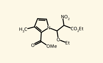 CCOC(=O)C(C(OCC)n1ccc(C)c1C(=O)OC)[N+](=O)[O-]